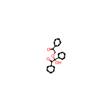 O=C(COC(O)(C(=O)c1ccccc1)c1ccccc1)c1ccccc1